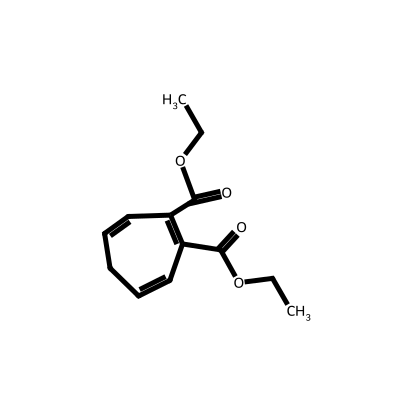 CCOC(=O)C1=C(C(=O)OCC)C=CCC=C1